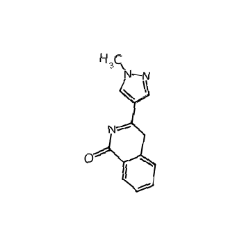 Cn1cc(C2=NC(=O)c3ccccc3C2)cn1